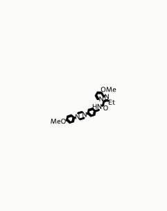 CCc1nc2c(OC)cccn2c1C(=O)NCc1ccc(N2CCN(c3ccc(OC)cc3)CC2)cc1